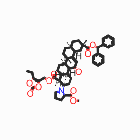 CCc1oc(=O)oc1COC(=O)[C@]1(C)[C@@H](N2CCCC2C(=O)OC)CC[C@@]2(C)[C@H]1CC[C@]1(C)[C@@H]2C(=O)C=C2[C@@H]3C[C@@](C)(C(=O)OC(c4ccccc4)c4ccccc4)CC[C@]3(C)CC[C@]21C